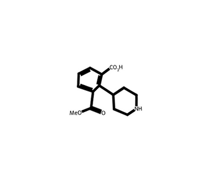 COC(=O)c1cccc(C(=O)O)c1C1CCNCC1